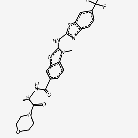 C[C@@H](NC(=O)c1ccc2c(c1)nc(Nc1nc3ccc(C(F)(F)F)cc3s1)n2C)C(=O)N1CCOCC1